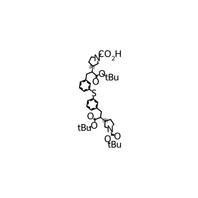 CC(C)(C)OC(=O)C(Cc1cccc(Sc2cccc(CC(C(=O)OC(C)(C)C)[C@H]3CCN(C(=O)OC(C)(C)C)C3)c2)c1)[C@H]1CCN(C(=O)O)C1